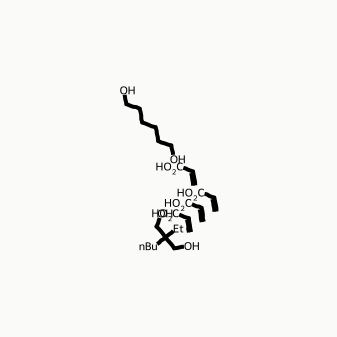 C=CC(=O)O.C=CC(=O)O.C=CC(=O)O.C=CC(=O)O.CCCCC(CC)(CO)CO.OCCCCCCO